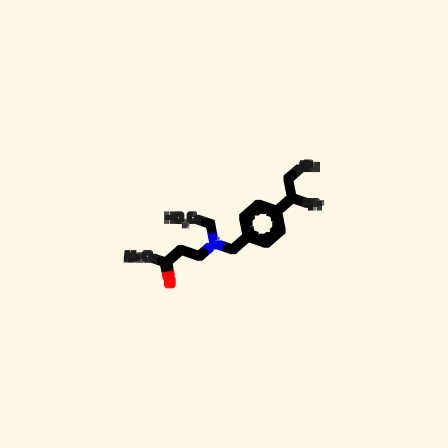 COC(=O)CCN(CC(=O)O)Cc1ccc(C(CC(C)(C)C)C(C)C)cc1